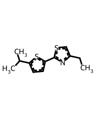 CCc1csc(-c2ccc(C(C)C)s2)n1